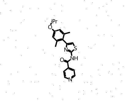 Cc1cc(OC(C)C)cc(C)c1-c1csc(NC(=O)c2ccncc2)n1